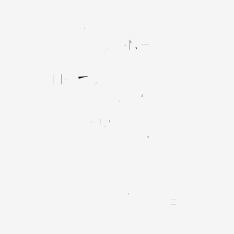 O=C1NCC[C@H](Oc2ccc(F)cc2)[C@H]1O